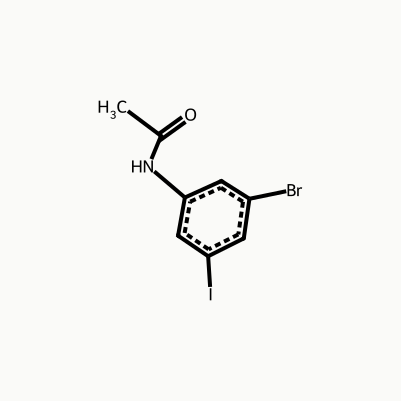 CC(=O)Nc1cc(Br)cc(I)c1